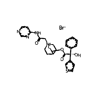 O=C(C[N+]12CCC(CC1)C(OC(=O)[C@@](O)(c1ccccc1)c1ccsc1)C2)Nc1ccncn1.[Br-]